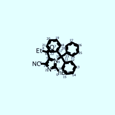 CCCCc1nc(C#N)c(C(=O)CC)n1C(c1ccccc1)(c1ccccc1)c1ccccc1